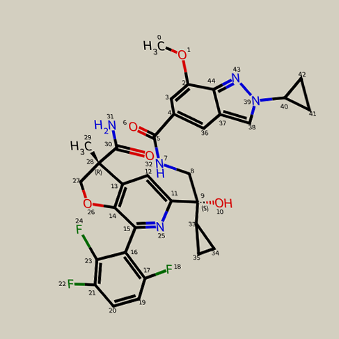 COc1cc(C(=O)NC[C@](O)(c2cc3c(c(-c4c(F)ccc(F)c4F)n2)OC[C@]3(C)C(N)=O)C2CC2)cc2cn(C3CC3)nc12